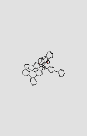 c1ccc(-c2ccc(N(c3ccc4c(c3)C3(c5ccccc5-c5ccccc5-4)c4ccccc4-c4cc5c(cc43)sc3ccccc35)c3cccc4c3oc3ccccc34)cc2)cc1